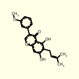 COc1cccc(-c2coc3cc(O)c(CC=C(C)C)c(O)c3c2=O)c1